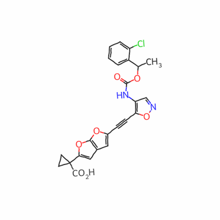 CC(OC(=O)Nc1cnoc1C#Cc1cc2cc(C3(C(=O)O)CC3)oc2o1)c1ccccc1Cl